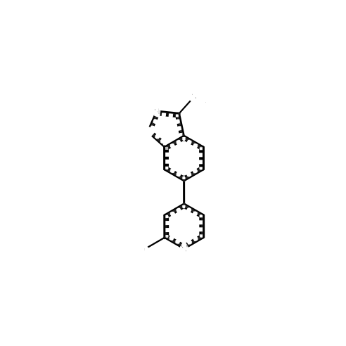 CCc1cc(-c2ccc3c(N)noc3c2)ccn1